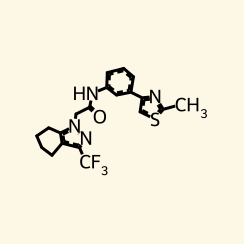 Cc1nc(-c2cccc(NC(=O)Cn3nc(C(F)(F)F)c4c3CCCC4)c2)cs1